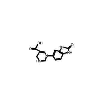 O=C(O)C1=CN(c2ccc3[nH]c(=O)[nH]c3c2)CNC1